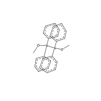 CO[Si](c1ccccc1)(c1ccccc1)[Si](OC)(c1ccccc1)c1ccccc1